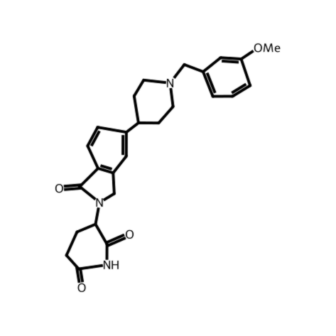 COc1cccc(CN2CCC(c3ccc4c(c3)CN(C3CCC(=O)NC3=O)C4=O)CC2)c1